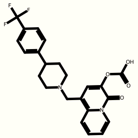 O=C(O)Oc1cc(CN2CCC(c3ccc(C(F)(F)F)cc3)CC2)c2ccccn2c1=O